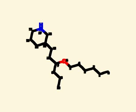 CCCCCCOC(CCC)CCC1CCCNC1